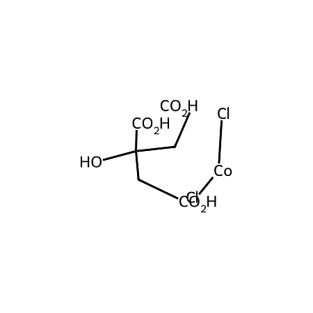 O=C(O)CC(O)(CC(=O)O)C(=O)O.[Cl][Co][Cl]